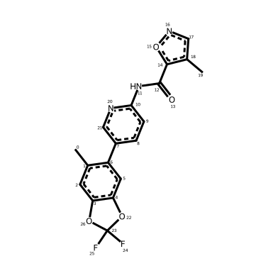 Cc1cc2c(cc1-c1ccc(NC(=O)c3oncc3C)nc1)OC(F)(F)O2